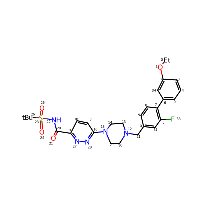 CCOc1cccc(-c2ccc(CN3CCN(c4ccc(C(=O)NS(=O)(=O)C(C)(C)C)nn4)CC3)cc2F)c1